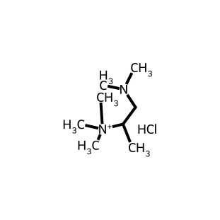 CC(CN(C)C)[N+](C)(C)C.Cl